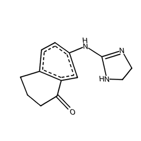 O=C1CCCc2ccc(NC3=NCCN3)cc21